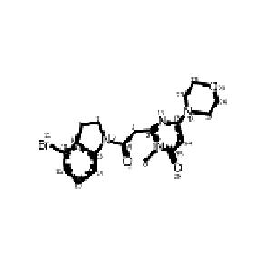 Cn1c(CC(=O)N2CCc3c(Br)cccc32)nc(N2CCOCC2)cc1=O